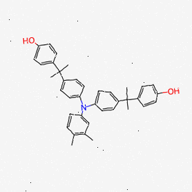 Cc1ccc(N(c2ccc(C(C)(C)c3ccc(O)cc3)cc2)c2ccc(C(C)(C)c3ccc(O)cc3)cc2)cc1C